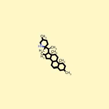 CC1CCC(C)([C@@H](C)C2C(C)CC3C4CC=C5CC(C)CC[C@]5(C)C4CC[C@@]32C)NC1